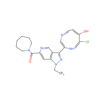 O=C(c1cc2c(cn1)c(-c1cnccc(O)c(Cl)c[nH]1)nn2CC(F)(F)F)N1CCCCCC1